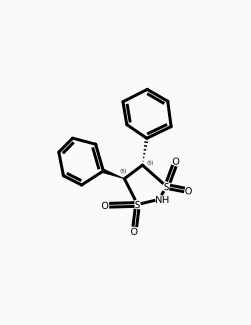 O=S1(=O)NS(=O)(=O)[C@@H](c2ccccc2)[C@@H]1c1ccccc1